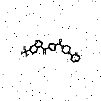 O=C(c1ccc(Nc2ccnc3cc(C(F)(F)F)ccc23)cc1)N1CCN(c2ccccn2)CC1